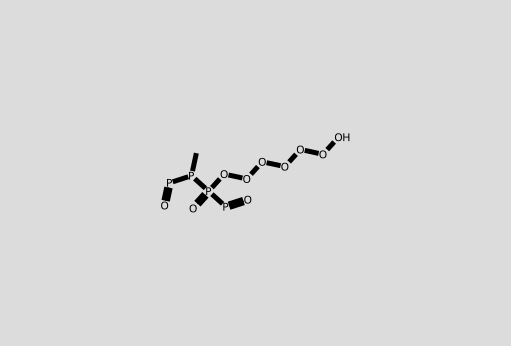 CP(P=O)P(=O)(OOOOOOO)P=O